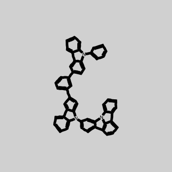 c1ccc(-n2c3ccccc3c3cc(-c4cccc(-c5ccc6c(c5)c5ccccc5n6-c5ccc6c7cccc8c9ccccc9n(c6c5)c87)c4)ccc32)cc1